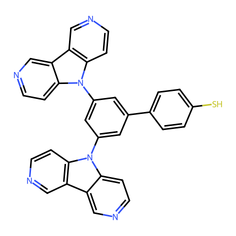 Sc1ccc(-c2cc(-n3c4ccncc4c4cnccc43)cc(-n3c4ccncc4c4cnccc43)c2)cc1